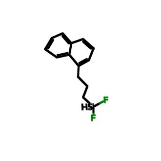 F[SiH](F)CCCc1cccc2ccccc12